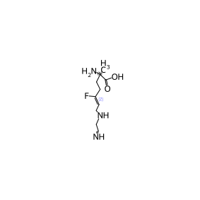 C[C@](N)(CC/C(F)=C/CNCC=N)C(=O)O